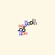 C=C1C=Cc2c([C@@H](O)CNC3Cc4cc(CC)c(CC)cc4C3)ccc(O)c2N1